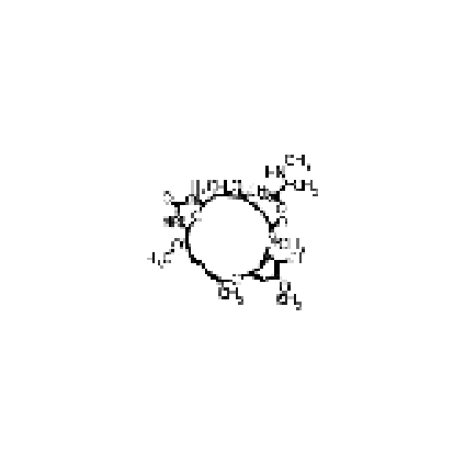 CN[C@H](C)C(=O)O[C@@H]1CC(=O)N(C)c2cc(cc(OC)c2Cl)C/C(C)=C\C=C\[C@H](OC)[C@]2(O)C[C@@H](OC(=O)N2)[C@H](C)[C@H]2O[C@@]21C